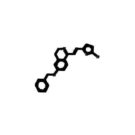 Brc1ccc(/C=C/C2=NCCc3cc(OCc4ccccc4)ccc32)s1